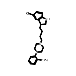 COc1ccccc1N1CCN(CCCCC2CNc3ccc(Cl)cc32)CC1